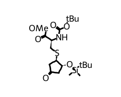 COC(=O)[C@H](CS[C@@H]1CC(=O)C[C@H]1O[Si](C)(C)C(C)(C)C)NC(=O)OC(C)(C)C